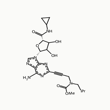 COC(=O)N(CC#Cc1nc(N)c2ncn([C@@H]3O[C@H](C(=O)NC4CC4)C(O)C3O)c2n1)CC(C)C